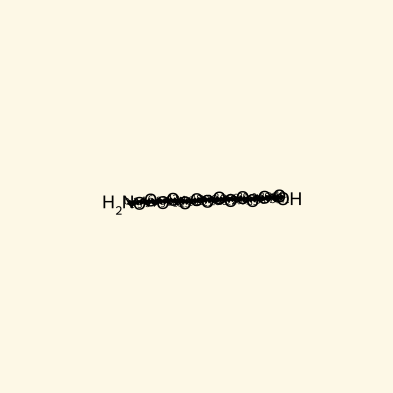 NCCOCCOCCOCCOCCOCCOCCOCCOCCOCCOCCOCCOCCCOO